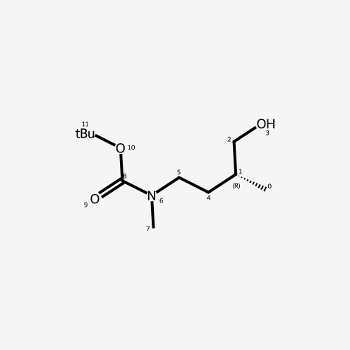 C[C@@H](CO)CCN(C)C(=O)OC(C)(C)C